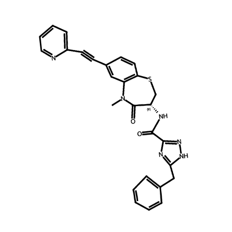 CN1C(=O)[C@@H](NC(=O)c2n[nH]c(Cc3ccccc3)n2)CSc2ccc(C#Cc3ccccn3)cc21